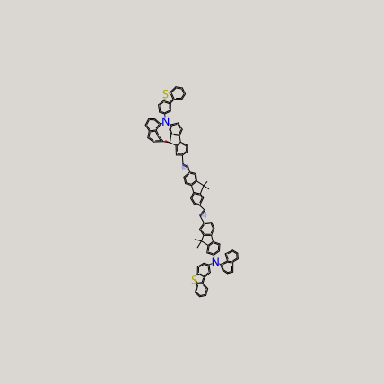 CC1(C)c2cc(/C=C/c3ccc4c(c3)C(C)(C)c3cc(N(c5ccc6sc7ccccc7c6c5)c5cccc6ccccc56)ccc3-4)ccc2-c2ccc(/C=C/c3ccc4c(c3)C3(C)c5ccc6cccc(c6c5)N(c5ccc6sc7ccccc7c6c5)c5ccc-4c3c5)cc21